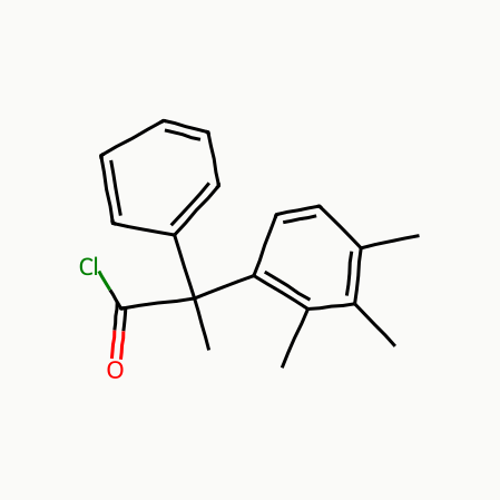 Cc1ccc(C(C)(C(=O)Cl)c2ccccc2)c(C)c1C